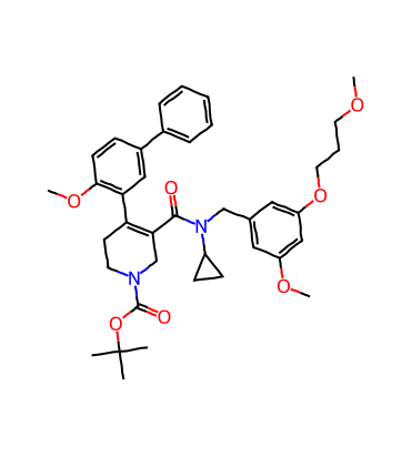 COCCCOc1cc(CN(C(=O)C2=C(c3cc(-c4ccccc4)ccc3OC)CCN(C(=O)OC(C)(C)C)C2)C2CC2)cc(OC)c1